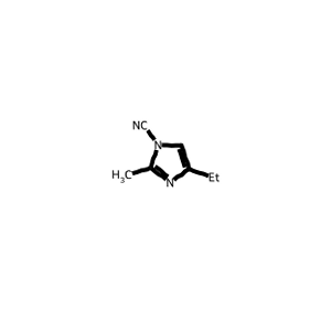 CCc1cn(C#N)c(C)n1